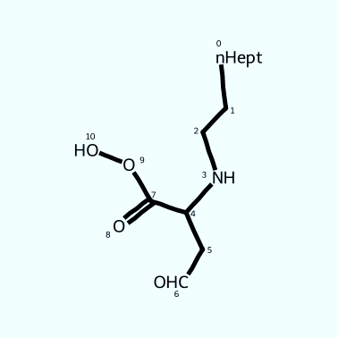 CCCCCCCCCNC(CC=O)C(=O)OO